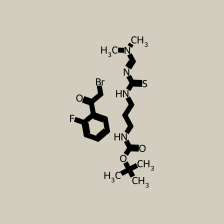 CN(C)C=NC(=S)NCCCNC(=O)OC(C)(C)C.O=C(CBr)c1ccccc1F